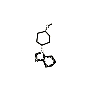 CO[C@H]1CC[C@H](n2cnc3ccccc32)CC1